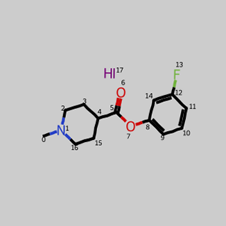 CN1CCC(C(=O)Oc2cccc(F)c2)CC1.I